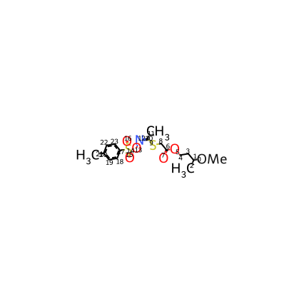 COC(C)CCOC(=O)CS/C(C)=N\OS(=O)(=O)c1ccc(C)cc1